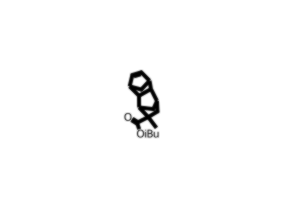 CC(C)COC(=O)C1(C)CC2CC1C1C3C=CC(C3)C21